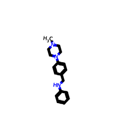 CN1CCN(c2ccc(CNc3ccccc3)cc2)CC1